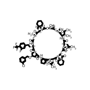 CC[C@H](C)[C@@H]1NC(=O)[C@H](CC(C)C)N(C)C(=O)C[C@@H](C(=O)N2CCCCC2)N(C)C(=O)[C@H](CC(C)C)N(C)C(=O)C2(CCCC2)NC(=O)[C@@H]2C[C@@H](OCc3cccc(Cl)c3)CN2C(=O)[C@H](CCc2ccc(C(F)(F)F)c(F)c2)NC(=O)CN(C)C(=O)[C@H](CC2CCCCC2)N(C)C(=O)CN(C)C(=O)CN(C)C1=O